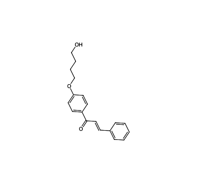 O=C(C=Cc1ccccc1)c1ccc(OCCCCO)cc1